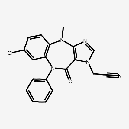 CN1c2ccc(Cl)cc2N(c2ccccc2)C(=O)c2c1ncn2CC#N